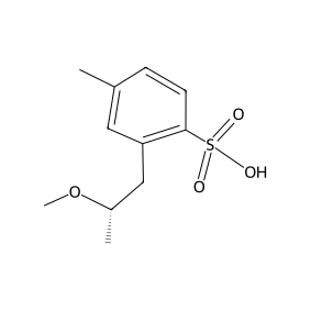 CO[C@@H](C)Cc1cc(C)ccc1S(=O)(=O)O